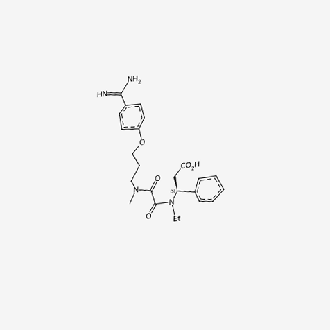 CCN(C(=O)C(=O)N(C)CCCOc1ccc(C(=N)N)cc1)[C@@H](CC(=O)O)c1ccccc1